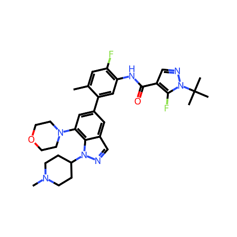 Cc1cc(F)c(NC(=O)c2cnn(C(C)(C)C)c2F)cc1-c1cc(N2CCOCC2)c2c(cnn2C2CCN(C)CC2)c1